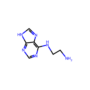 NCCNc1ncnc2[nH]cnc12